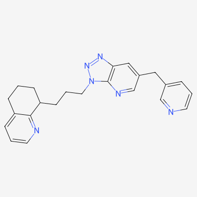 c1cncc(Cc2cnc3c(c2)nnn3CCCC2CCCc3cccnc32)c1